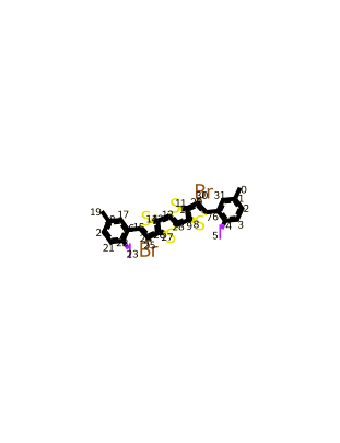 Cc1ccc(I)c(-c2sc3c(sc4c5sc(-c6cc(C)ccc6I)c(Br)c5sc34)c2Br)c1